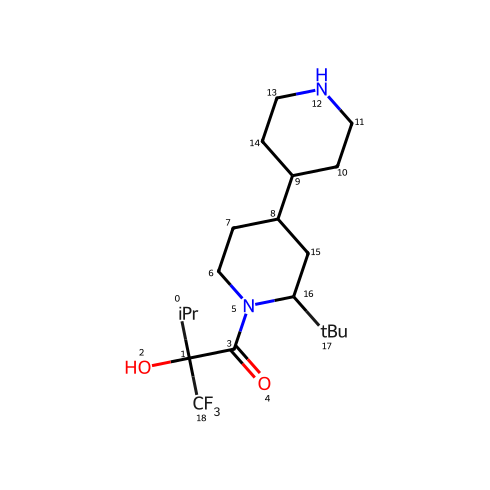 CC(C)C(O)(C(=O)N1CCC(C2CCNCC2)CC1C(C)(C)C)C(F)(F)F